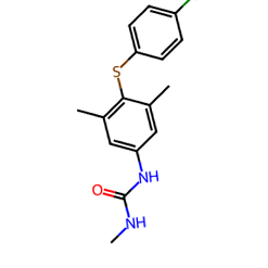 CNC(=O)Nc1cc(C)c(Sc2ccc(Cl)cc2)c(C)c1